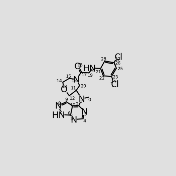 CN(c1ncnc2[nH]ncc12)C1COCCN(C(=O)CNc2cc(Cl)cc(Cl)c2)C1